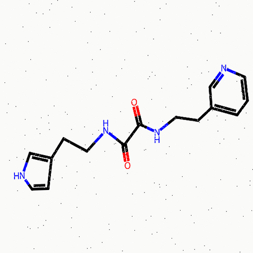 O=C(NCCc1cccnc1)C(=O)NCCc1cc[nH]c1